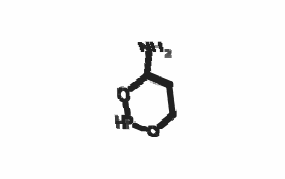 NC1CCOPO1